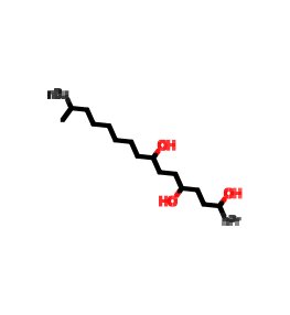 CCCCC(C)CCCCCCC(O)CCC(O)CCC(O)CCC